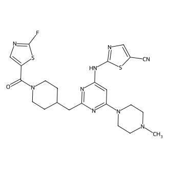 CN1CCN(c2cc(Nc3ncc(C#N)s3)nc(CC3CCN(C(=O)c4cnc(F)s4)CC3)n2)CC1